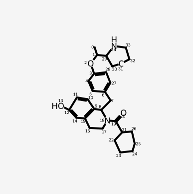 CC(Oc1ccc(CC2c3ccc(O)cc3CCN2C(=O)C2CCCCC2)cc1)C1CCCCN1